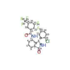 O=C(Nc1cccc2c1[C@H](c1cc(F)ccc1Cl)NC2=O)c1cc(F)cc(C(F)(F)F)c1